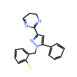 Fc1ccccc1Cn1nc(C2=NCCC=N2)cc1-c1ccccc1